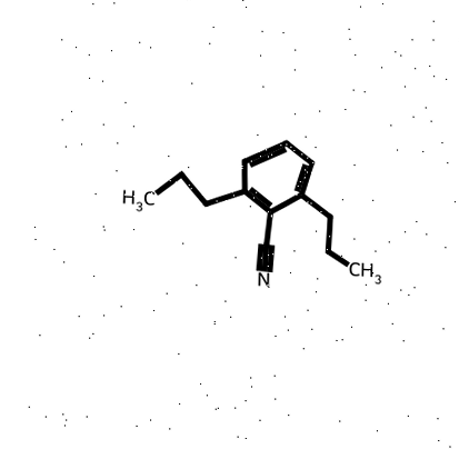 CCCc1cccc(CCC)c1C#N